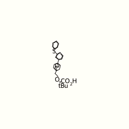 CC(C)(C)C(OCCC12CCC(c3cccc(Sc4ccccc4)c3)(CC1)OC2)C(=O)O